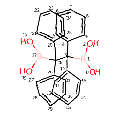 OB(O)C(c1ccccc1)(c1ccccc1)C(B(O)O)(c1ccccc1)c1ccccc1